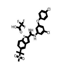 CC(C)(c1ccc2sc(C(=N)Nc3cc(Cl)cc(Oc4ccc(Cl)cc4)c3)cc2c1)S(C)(=O)=O.O=C(O)C(F)(F)F